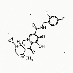 C[C@H]1CCN(C2CC2)[C@@H]2Cn3cc(C(=O)NCc4ccc(F)cc4F)c(=O)c(O)c3C(=O)N12